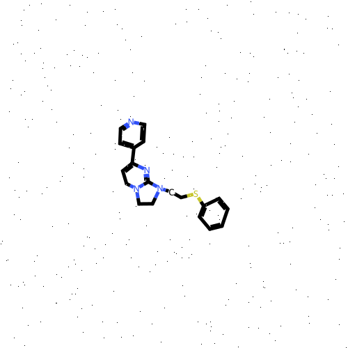 C1=C(c2ccncc2)N=C2N(C1)CCN2CCSc1ccccc1